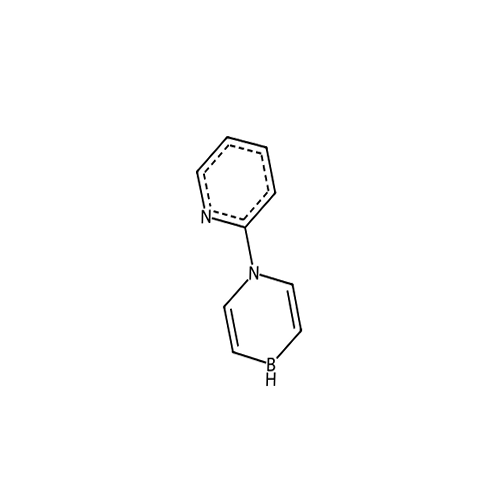 B1C=CN(c2ccccn2)C=C1